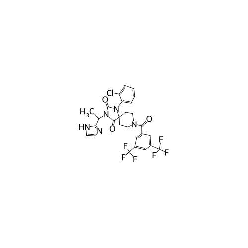 CC(c1ncc[nH]1)N1C(=O)N(c2ccccc2Cl)C2(CCN(C(=O)c3cc(C(F)(F)F)cc(C(F)(F)F)c3)CC2)C1=O